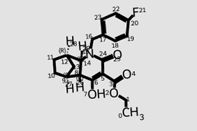 CCOC(=O)C1=C(O)[C@@H]2[C@H]3CC[C@H](C3)[C@@H]2N(Cc2ccc(F)cc2)C1=O